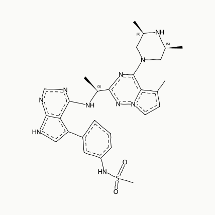 Cc1ccn2nc([C@H](C)Nc3ncnc4[nH]cc(-c5cccc(NS(C)(=O)=O)c5)c34)nc(N3C[C@@H](C)N[C@@H](C)C3)c12